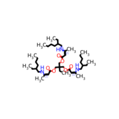 CCCCC(CC)CN/C(C)=C\C(=O)OCC(CC)(COC(=O)/C=C(/C)NCC(CC)CCCC)COC(=O)/C=C(/C)NCC(CC)CCCC